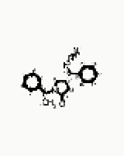 C[C@H](c1ccccc1)N1C[C@H](C(N=[N+]=[N-])c2ccccc2)CC1=O